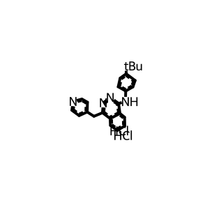 CC(C)(C)c1ccc(Nc2nnc(Cc3ccncc3)c3ccccc23)cc1.Cl.Cl